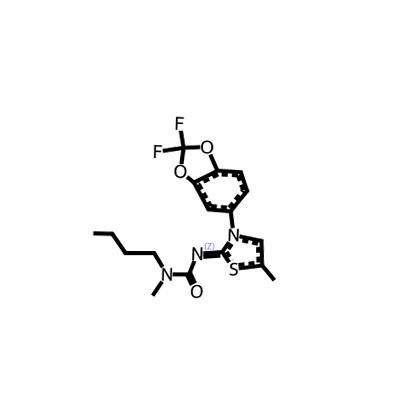 CCCCN(C)C(=O)/N=c1\sc(C)cn1-c1ccc2c(c1)OC(F)(F)O2